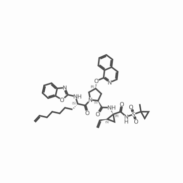 C=CCCCCC[C@H](Nc1nc2ccccc2o1)C(=O)N1C[C@H](Oc2nccc3ccccc23)C[C@H]1C(=O)N[C@]1(C(=O)NS(=O)(=O)C2(C)CC2)C[C@H]1C=C